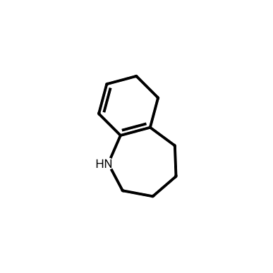 C1=CC2=C(CC1)CCCCN2